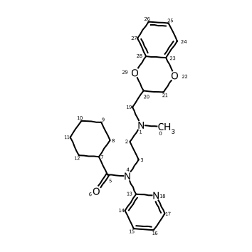 CN(CCN(C(=O)C1CCCCC1)c1ccccn1)CC1COc2ccccc2O1